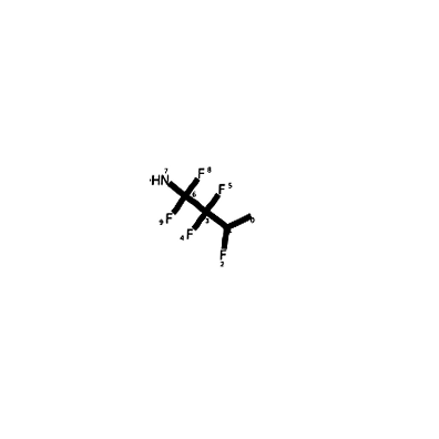 CC(F)C(F)(F)C([NH])(F)F